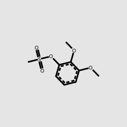 COc1cccc(OS(C)(=O)=O)c1OC